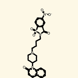 O=C1c2cc([N+](=O)[O-])ccc2S(=O)(=O)N1CCCCN1CCC(n2c(=O)ccc3ccccc32)CC1